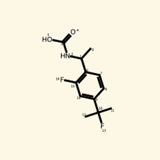 CC(NC(=O)O)c1ccc(C(C)(C)F)cc1F